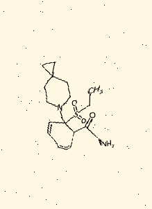 CCS(=O)(=O)C1(N2CCC3(CC2)CC3)C=CC=CC1C(N)=O